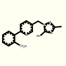 CCCc1nc(C)nn1Cc1ccc(-c2ccccc2C(=O)O)nc1